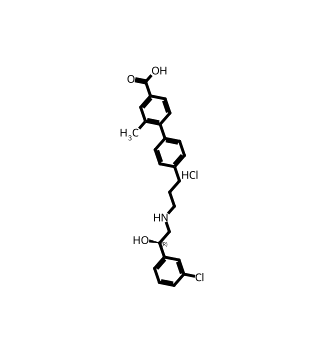 Cc1cc(C(=O)O)ccc1-c1ccc(CCCNC[C@H](O)c2cccc(Cl)c2)cc1.Cl